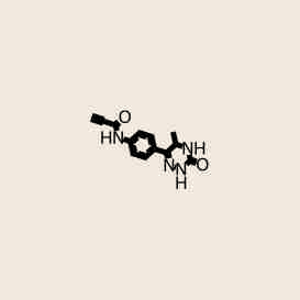 C#CC(=O)Nc1ccc(C2=NNC(=O)NC2C)cc1